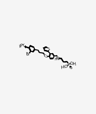 CC(C)Cc1ccc(CCCOc2ccc(CNCCCP(=O)(O)O)cc2-c2cccs2)cc1Br